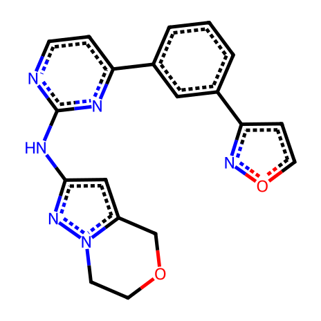 c1cc(-c2ccon2)cc(-c2ccnc(Nc3cc4n(n3)CCOC4)n2)c1